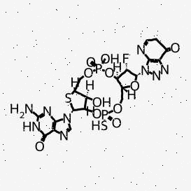 Nc1nc2c(ncn2[C@@H]2S[C@@H]3COP(=O)(O)O[C@H]4[C@H](F)[C@H](n5nnc6c5N=CCC6=O)O[C@@H]4COP(=O)(S)O[C@@H]2[C@@H]3O)c(=O)[nH]1